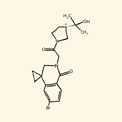 CC(C)(O)[C@H]1CCN(C(=O)CN2CC3(CC3)c3cc(Br)ccc3C2=O)C1